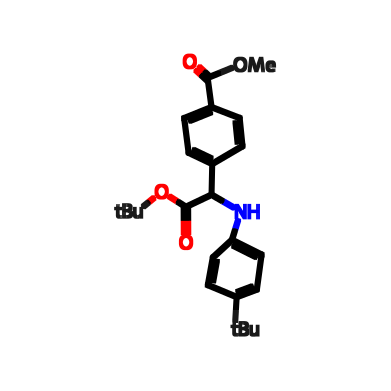 COC(=O)c1ccc(C(Nc2ccc(C(C)(C)C)cc2)C(=O)OC(C)(C)C)cc1